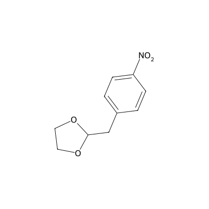 O=[N+]([O-])c1ccc(CC2OCCO2)cc1